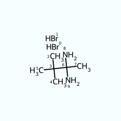 Br.Br.CC(C)(C)C(C)(N)N